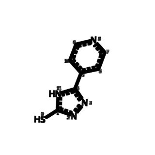 Sc1nnc(-c2ccncc2)[nH]1